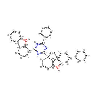 CC1(c2nc(-c3ccccc3)nc(-c3cccc4c3oc3ccccc34)n2)CC=Cc2oc3cc(-c4ccccc4)ccc3c21